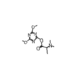 COc1nc(OC)nc(OC(=O)C(C)N(C)C)n1